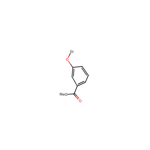 CCOc1c[c]cc(C(=O)OC)c1